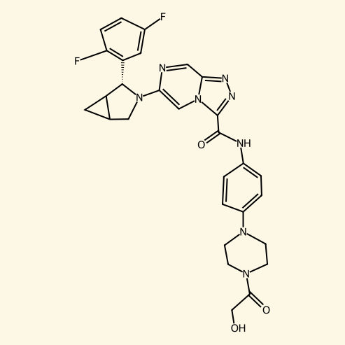 O=C(Nc1ccc(N2CCN(C(=O)CO)CC2)cc1)c1nnc2cnc(N3CC4CC4[C@@H]3c3cc(F)ccc3F)cn12